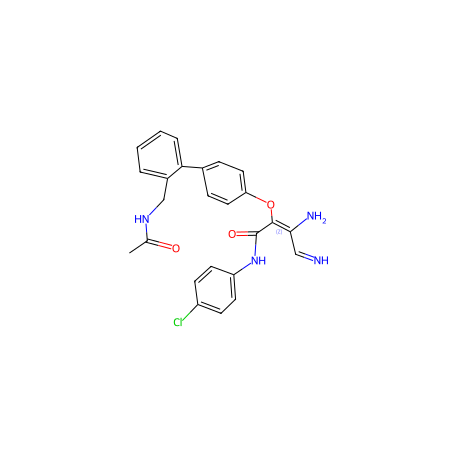 CC(=O)NCc1ccccc1-c1ccc(O/C(C(=O)Nc2ccc(Cl)cc2)=C(\N)C=N)cc1